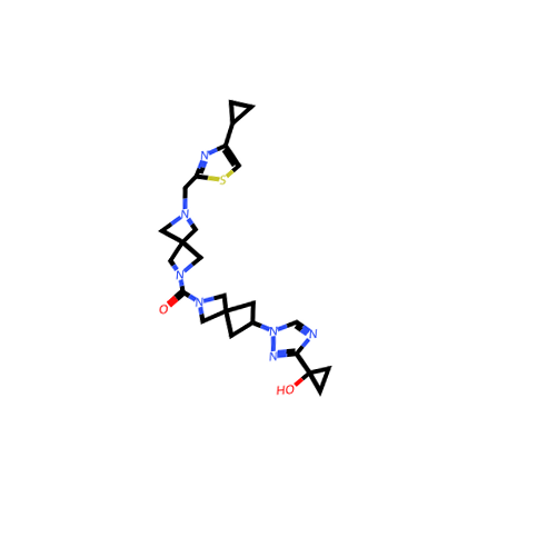 O=C(N1CC2(CC(n3cnc(C4(O)CC4)n3)C2)C1)N1CC2(CN(Cc3nc(C4CC4)cs3)C2)C1